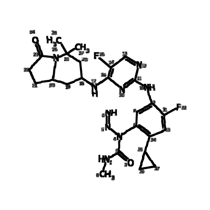 CNC(=O)N(N=N)c1cc(Nc2ncc(F)c(NC3CC4CCC(=O)N4C(C)(C)C3)n2)c(F)cc1C1CC1